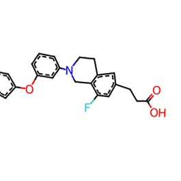 O=C(O)CCc1cc(F)c2c(c1)CCN(c1cccc(Oc3ccccc3)c1)C2